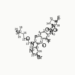 CN(c1ccc(F)c(C(=O)c2cn(COCC[Si](C)(C)C)c3ncc(Br)cc23)c1F)S(=O)(=O)N1CC[C@@H](F)C1